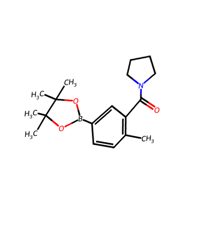 Cc1ccc(B2OC(C)(C)C(C)(C)O2)cc1C(=O)N1CCCC1